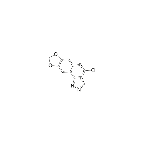 Clc1nc2cc3c(cc2c2nncn12)OCO3